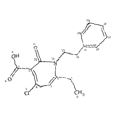 CCc1cc(Cl)c(C(=O)O)c(=O)n1CCc1ccccc1